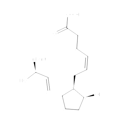 CCCCC[C@H](O)/C=C/[C@H]1CC[C@H](O)[C@@H]1C/C=C\CCC(=O)C(=O)O